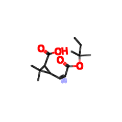 CCC(C)(C)OC(=O)/C=C\C1C(C(=O)O)C1(C)C